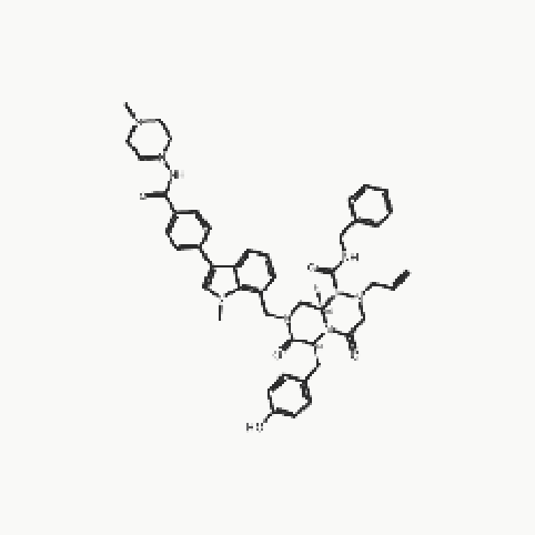 C=CCN1CC(=O)N2[C@@H](Cc3ccc(O)cc3)C(=O)N(Cc3cccc4c(-c5ccc(C(=O)NN6CCN(C)CC6)cc5)cn(C)c34)C[C@@H]2N1C(=O)NCc1ccccc1